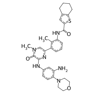 Cc1c(NC(=O)c2cc3c(s2)CCCC3)cccc1-c1cn(C)c(=O)c(Nc2ccc(N3CCOCC3)c(N)c2)n1